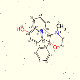 CN1CCOC(c2ccccc2)(c2ccc(O)cn2)C1c1ccccc1